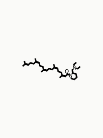 CCN(CC)CC1CCCCN1C(=O)C=C(C)CCC=C(C)CCC=C(C)CCC=C(C)CCC=C(C)C